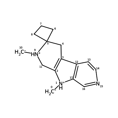 [CH2-][NH+]1C2=C(CC3(CCC3)[NH+]([CH2-])C2)c2ccncc21